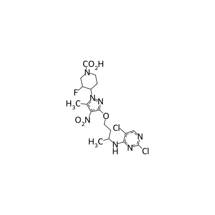 Cc1c([N+](=O)[O-])c(OCCC(C)Nc2nc(Cl)ncc2Cl)nn1C1CCN(C(=O)O)CC1F